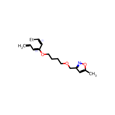 C=C/C=C(\C=C/CC)OCCCCOCc1cc(C)on1